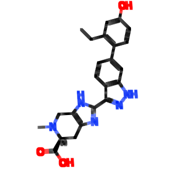 CCc1cc(O)ccc1-c1ccc2c(-c3nc4c([nH]3)CN(C)[C@H](C(=O)O)C4)n[nH]c2c1